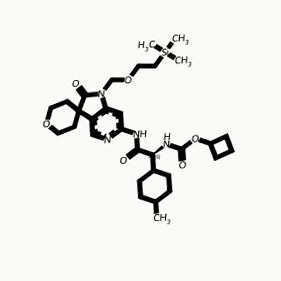 CC1CCC([C@H](NC(=O)OC2CCC2)C(=O)Nc2cc3c(cn2)C2(CCOCC2)C(=O)N3COCC[Si](C)(C)C)CC1